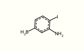 Bc1ccc(I)c(N)c1